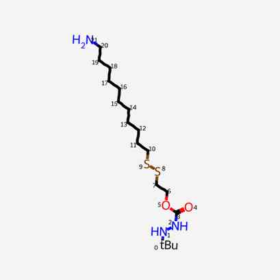 CC(C)(C)NNC(=O)OCCSSCCCCCCCCCCCN